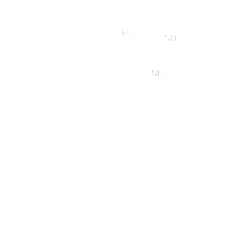 N=C(S)NCC=Cc1ccc(Cl)c(Cl)c1